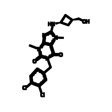 Cn1c(N[C@H]2C[C@H](CO)C2)nc2c1c(=O)n(Cc1ccc(Cl)c(Cl)c1)c(=O)n2C